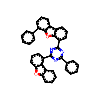 c1ccc(-c2nc(-c3cccc4c3oc3c(-c5ccccc5)cccc34)nc(-c3cccc4oc5ccccc5c34)n2)cc1